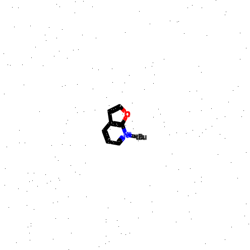 CC(C)(C)[n+]1cccc2ccoc21